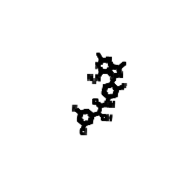 Cc1nc(N)c2c(n1)c(C)nn2-c1ccc(NC(=O)[C@H](O)c2cc(F)cc(Cl)c2)cc1F